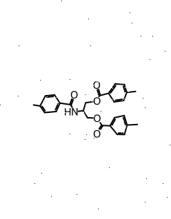 Cc1ccc(C(=O)NC(COC(=O)c2ccc(C)cc2)COC(=O)c2ccc(C)cc2)cc1